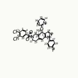 O=S(=O)(c1ccc(Cl)c(Cl)c1)N1CCC2=Cc3c(cnn3-c3ccc(F)cc3)C[C@]2(COc2ncccn2)C1